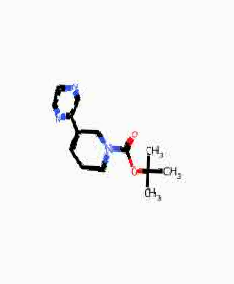 CC(C)(C)OC(=O)N1CCC=C(c2cnccn2)C1